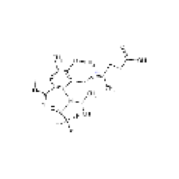 COc1c(C)c2c(c(N(C(=O)C(F)(F)F)C(C)C)c1C/C=C(\C)CCC(=O)O)C(=O)OC2